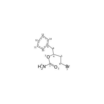 NC(=O)OC(CCBr)Cc1ccccc1